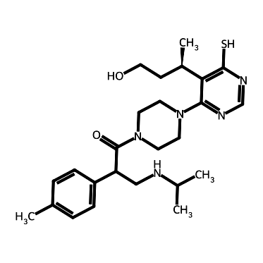 Cc1ccc(C(CNC(C)C)C(=O)N2CCN(c3ncnc(S)c3[C@H](C)CCO)CC2)cc1